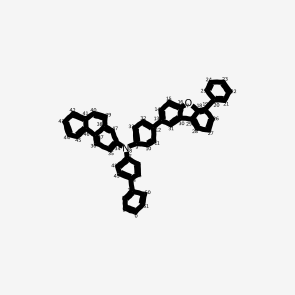 c1ccc(-c2ccc(N(c3ccc(-c4ccc5oc6c(-c7ccccc7)cccc6c5c4)cc3)c3ccc4c(ccc5ccccc54)c3)cc2)cc1